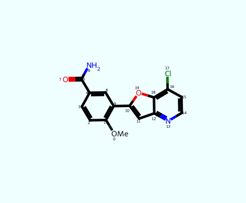 COc1ccc(C(N)=O)cc1-c1cc2nccc(Cl)c2o1